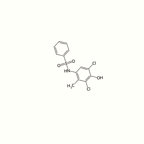 Cc1c(NS(=O)(=O)c2ccccc2)cc(Cl)c(O)c1Cl